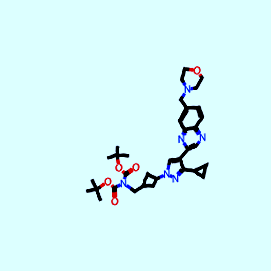 CC(C)(C)OC(=O)N(CC1CC(n2cc(-c3cnc4ccc(CN5CCOCC5)cc4n3)c(C3CC3)n2)C1)C(=O)OC(C)(C)C